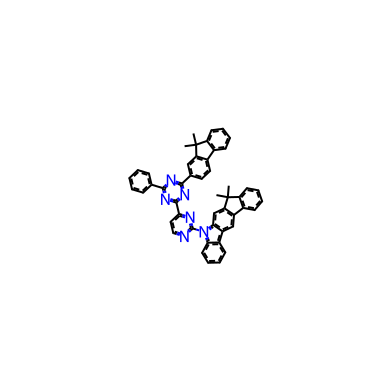 CC1(C)c2ccccc2-c2ccc(-c3nc(-c4ccccc4)nc(-c4ccnc(-n5c6ccccc6c6cc7c(cc65)C(C)(C)c5ccccc5-7)n4)n3)cc21